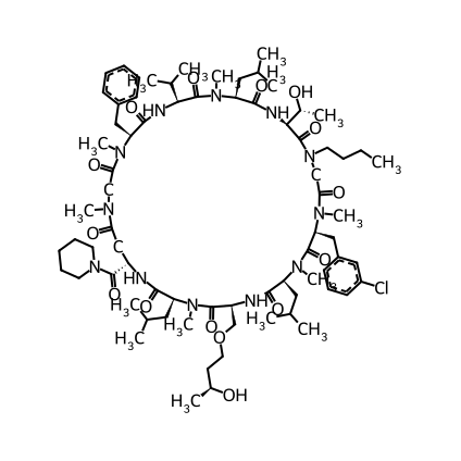 CCCCN1CC(=O)N(C)[C@@H](Cc2cccc(Cl)c2)C(=O)N(C)[C@@H](CC(C)C)C(=O)N[C@@H](COCC[C@H](C)O)C(=O)N(C)[C@@H](CC(C)C)C(=O)N[C@H](C(=O)N2CCCCC2)CC(=O)N(C)CC(=O)N(C)[C@@H](Cc2ccccc2)C(=O)N[C@@H](C(C)C)C(=O)N(C)[C@@H](CC(C)C)C(=O)N[C@@H]([C@@H](C)O)C1=O